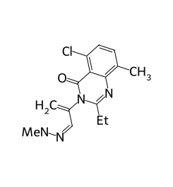 C=C(/C=N\NC)n1c(CC)nc2c(C)ccc(Cl)c2c1=O